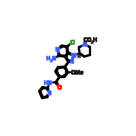 COc1cc(C(=O)Nc2ccccn2)ccc1-c1nn([C@@H]2CCCN(C(=O)O)C2)c2c(Cl)cnc(N)c12